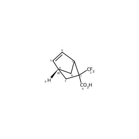 O=C(O)C1(C(F)(F)F)C[C@@H]2C=CC1C2